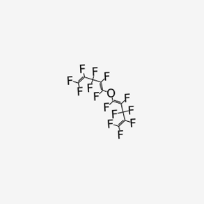 FC(F)=C(F)C(F)(F)C(F)=C(F)OC(F)=C(F)C(F)(F)C(F)=C(F)F